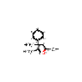 C=C(C(=O)O)C(CC(=O)CCCCCCCC)(C(=O)O)c1ccccc1